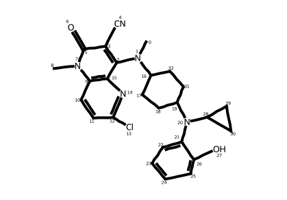 CN(c1c(C#N)c(=O)n(C)c2ccc(Cl)nc12)C1CCC(N(c2ccccc2O)C2CC2)CC1